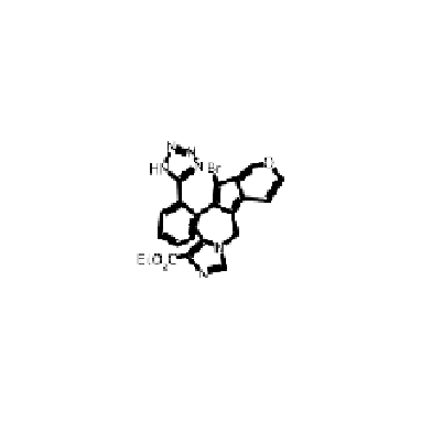 CCOC(=O)c1ncn(Cc2c3ccocc-3c(Br)c2-c2ccccc2-c2nnn[nH]2)c1C